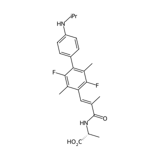 C/C(=C\c1c(C)c(F)c(-c2ccc(NC(C)C)cc2)c(C)c1F)C(=O)N[C@H](C)C(=O)O